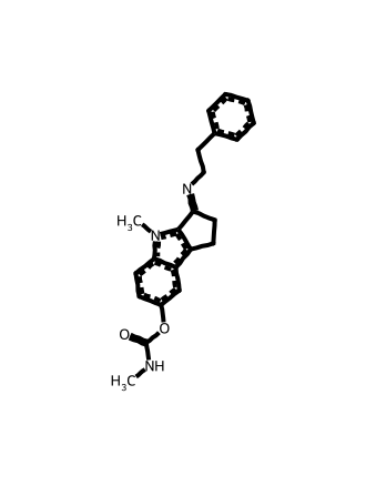 CNC(=O)Oc1ccc2c(c1)c1c(n2C)C(=NCCc2ccccc2)CC1